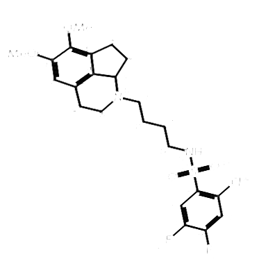 COc1cc2c3c(c1OC)CCC3N(CCCCNS(=O)(=O)c1cc(F)c(F)cc1Cl)CC2